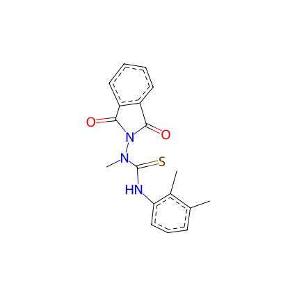 Cc1cccc(NC(=S)N(C)N2C(=O)c3ccccc3C2=O)c1C